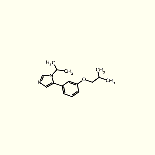 CC(C)COc1cccc(-c2cncn2C(C)C)c1